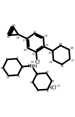 C1CCC(NC2CCCCC2)CC1.Cl.Clc1cc(C2C#C2)ccc1C1CCCCC1